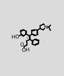 CC(C)N1CCC(c2ccc(/C(=C(/CCC(=O)O)c3ccccc3)c3cccc(O)c3)cc2)C1